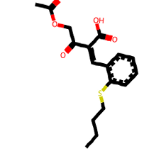 CCCCSc1ccccc1C=C(C(=O)O)C(=O)COC(C)=O